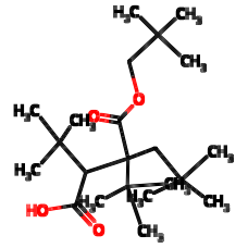 CC(C)(C)COC(=O)C(CC(C)(C)C)(C(C(=O)O)C(C)(C)C)C(C)(C)C